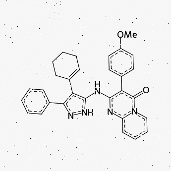 COc1ccc(-c2c(Nc3[nH]nc(-c4ccccc4)c3C3=CCCCC3)nc3ccccn3c2=O)cc1